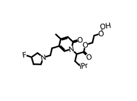 Cc1cc(=O)n(C(CC(C)C)C(=O)OCCOO)cc1CCN1CCC(F)C1